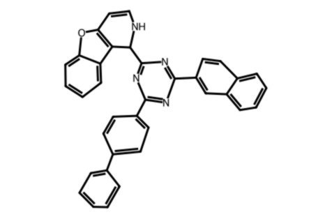 C1=Cc2oc3ccccc3c2C(c2nc(-c3ccc(-c4ccccc4)cc3)nc(-c3ccc4ccccc4c3)n2)N1